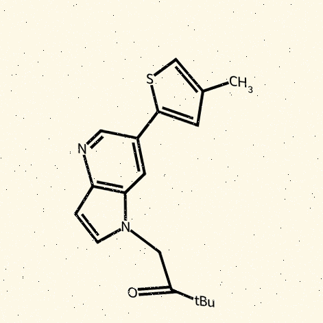 Cc1csc(-c2cnc3ccn(CC(=O)C(C)(C)C)c3c2)c1